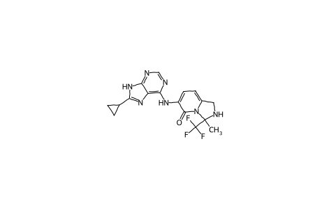 CC1(C(F)(F)F)NCc2ccc(Nc3ncnc4[nH]c(C5CC5)nc34)c(=O)n21